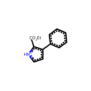 CCOC(=O)c1[nH]ccc1-c1ccccc1